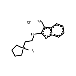 C[N+]1(CCNc2nn3ccccc3c2N)CCCC1.[Cl-]